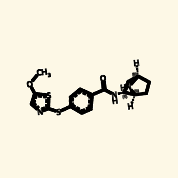 COc1cnc(Sc2ccc(C(=O)N[C@@H]3C[C@H]4CC[C@@H]3N4)cc2)s1